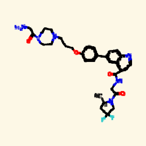 N#C[C@@H]1CC(F)(F)CN1C(=O)CNC(=O)c1ccnc2ccc(-c3ccc(OCCCN4CCN(C(=O)CN)CC4)cc3)cc12